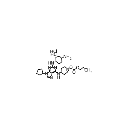 CCCOC(=O)ON1CCC(Nc2nc(N[C@H]3CC[C@H](N)CC3)nc3c2ncn3C2CCCC2)CC1.Cl.Cl